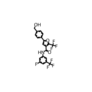 O=C(Nc1cc(F)cc(C(F)(F)F)c1)c1cc(-c2ccc(CO)cc2)oc1C(F)(F)F